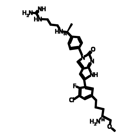 COC[C@H](N)CCCc1cc(Cl)c(F)c(-c2cc3cn(-c4ccc([C@H](C)NCCCNC(=N)N)cc4)c(=O)nc3[nH]2)c1